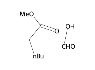 CCCCCC(=O)OC.O=CO